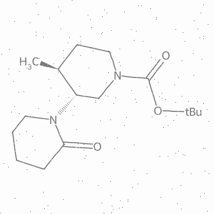 C[C@H]1CCN(C(=O)OC(C)(C)C)C[C@@H]1N1CCCCC1=O